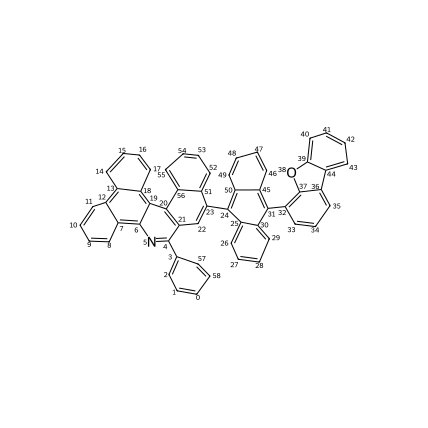 c1ccc(-c2nc3c4ccccc4c4ccccc4c3c3c2cc(-c2c4ccccc4c(-c4cccc5c4oc4ccccc45)c4ccccc24)c2ccccc23)cc1